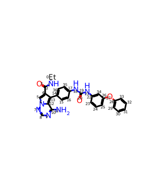 CCNC(=O)c1cn2ncnc(N)c2c1-c1ccc(NC(=O)Nc2cccc(Oc3ccccc3)c2)cc1